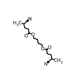 CC(C#N)CCC(=O)OCCCCOC(=O)CCC(C)C#N